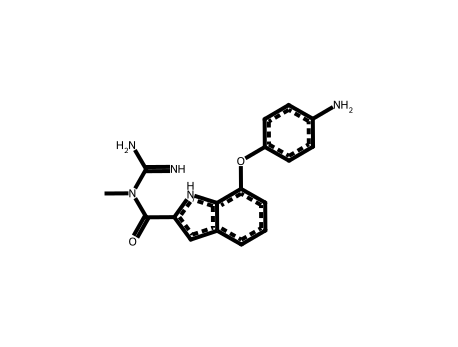 CN(C(=N)N)C(=O)c1cc2cccc(Oc3ccc(N)cc3)c2[nH]1